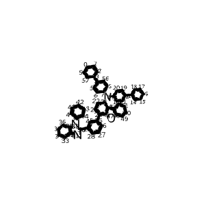 c1ccc(-c2ccc(N(c3ccc(-c4ccccc4)cc3)c3ccc(-c4cccc(-c5nc6ccccc6n5-c5ccccc5)c4)c4oc5ccccc5c34)cc2)cc1